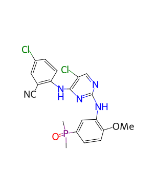 COc1ccc(P(C)(C)=O)cc1Nc1ncc(Cl)c(Nc2ccc(Cl)cc2C#N)n1